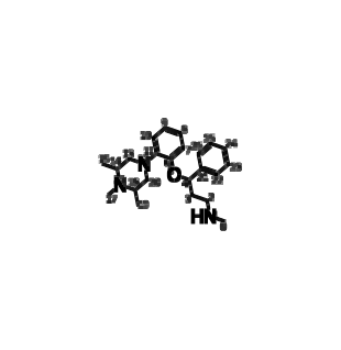 CNCCC(Oc1ccccc1N1CC(C)N(C)C(C)C1)c1ccccc1